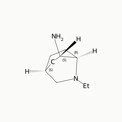 CCN1C[C@H]2CC[C@@H]1[C@@H](N)C2